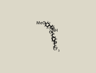 COc1ccc(-c2csc(NC(=O)C=Cc3ccc(OCCCC(F)(F)F)cc3)n2)cc1